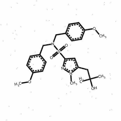 COc1ccc(CN(Cc2ccc(OC)cc2)S(=O)(=O)c2cc(CC(C)(C)O)n(C)n2)cc1